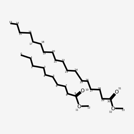 CCCCCCCCCC(=O)OC.CCCCCCCCCCCCCCCCCC(=O)OC